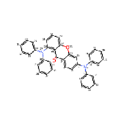 O=c1c2ccc(N(c3ccccc3)c3ccccc3)cc2oc2cccc(N(c3ccccc3)c3ccccc3)c12